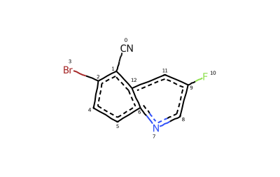 N#Cc1c(Br)ccc2ncc(F)cc12